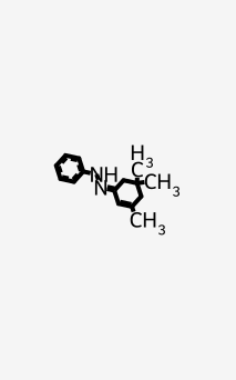 CC1=C/C(=N/Nc2ccccc2)CC(C)(C)C1